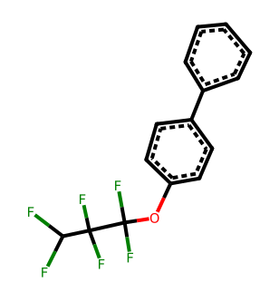 FC(F)C(F)(F)C(F)(F)Oc1ccc(-c2ccccc2)cc1